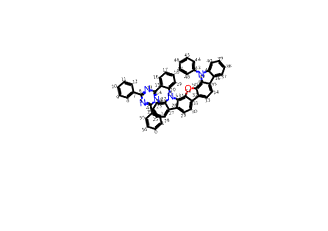 c1ccc(-c2nc(-c3ccccc3)nc(-c3ccccc3-n3c4ccccc4c4ccc5c6ccc7c8ccccc8n(-c8ccccc8)c7c6oc5c43)n2)cc1